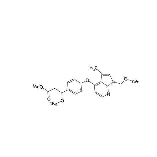 CCCOCn1cc(C)c2c(Oc3ccc(C(CC(=O)OC)OC(C)(C)C)cc3)ccnc21